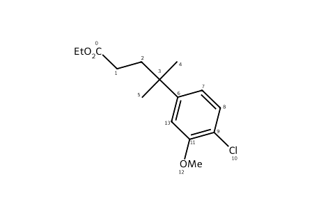 CCOC(=O)CCC(C)(C)c1ccc(Cl)c(OC)c1